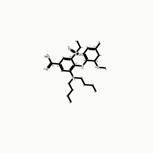 CCCCN(CCCC)c1cc(C(=O)O)cc(S(=O)(=O)CC)c1OC1=CC=C(C)CC1OC